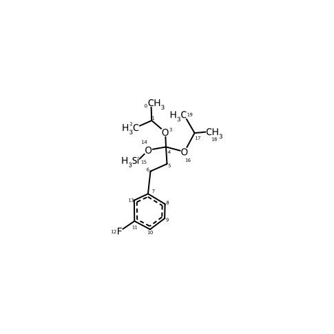 CC(C)OC(CCc1cccc(F)c1)(O[SiH3])OC(C)C